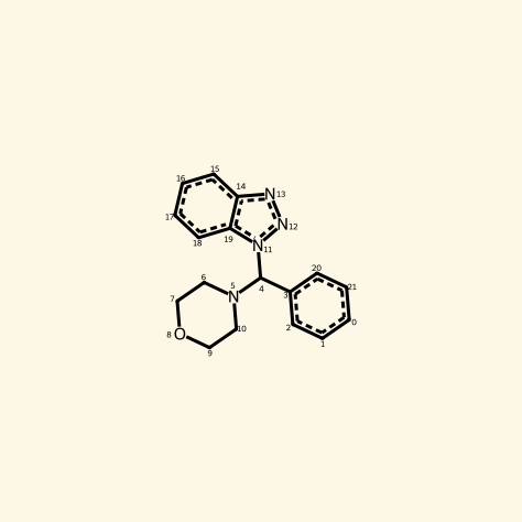 c1ccc(C(N2CCOCC2)n2nnc3ccccc32)cc1